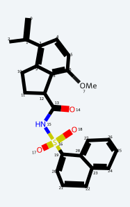 C=C(C)c1ccc(OC)c2c1CCC2C(=O)NS(=O)(=O)c1cccc2ccccc12